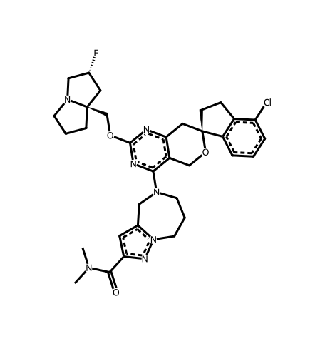 CN(C)C(=O)c1cc2n(n1)CCCN(c1nc(OC[C@@]34CCCN3C[C@H](F)C4)nc3c1CO[C@]1(CCc4c(Cl)cccc41)C3)C2